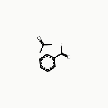 CC(C)=O.O=[C]([K])c1ccccc1